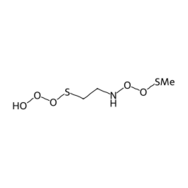 CSOONCCSOOO